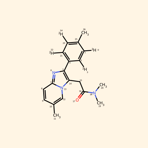 [2H]c1c([2H])c(-c2nc3ccc(C)cn3c2CC(=O)N(C)C)c([2H])c([2H])c1C